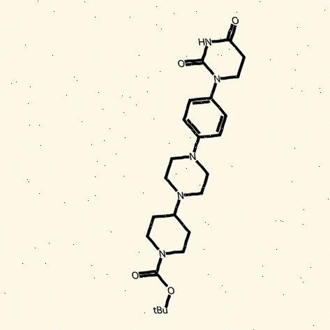 CC(C)(C)OC(=O)N1CCC(N2CCN(c3ccc(N4CCC(=O)NC4=O)cc3)CC2)CC1